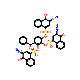 [N-]=[N+]=C1C=C(S(=O)(=O)Oc2ccc(C(=O)c3ccccc3)c(OS(=O)(=O)C3=CC(=[N+]=[N-])C(=O)c4ccccc43)c2OS(=O)(=O)C2=CC(=[N+]=[N-])C(=O)c3ccccc32)c2ccccc2C1=O